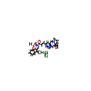 Cc1c(CN(C)C(=O)/C=C/c2cnc3c(c2)CN2CCC[C@@H]2C(=O)N3)oc2ccccc12.Cl